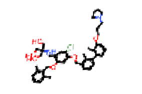 Cc1cccc(C)c1COc1cc(OCc2cccc(-c3cccc(OCCCN4CCCC4)c3C)c2C)c(Cl)cc1CNC(CO)(CO)CO